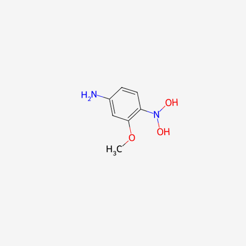 COc1cc(N)ccc1N(O)O